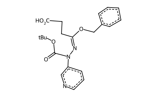 CC(C)(C)OC(=O)N(N=C(CCC(=O)O)OCc1ccccc1)c1cccnc1